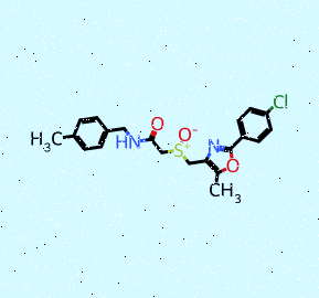 Cc1ccc(CNC(=O)C[S+]([O-])Cc2nc(-c3ccc(Cl)cc3)oc2C)cc1